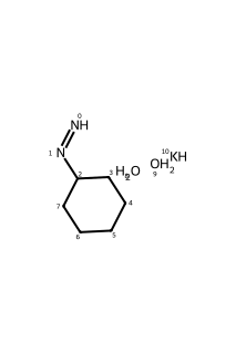 N=NC1CCCCC1.O.O.[KH]